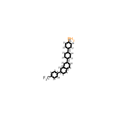 FC(F)(F)c1ccc(-c2ccc3ccc(-c4ccc(-c5ccc(P)cc5)cc4)cc3c2)cc1